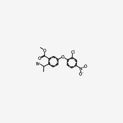 COC(=O)c1cc(Oc2ccc([N+](=O)[O-])cc2Cl)ccc1C(C)Br